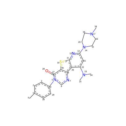 Cc1ccc(-n2cnc3c(sc4nc(N5CCN(C)CC5)cc(N(C)C)c43)c2=O)cc1